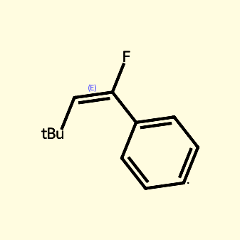 CC(C)(C)/C=C(/F)c1cc[c]cc1